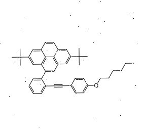 CCCCCCOc1ccc(C#Cc2ccccc2-c2cc3cc(C(C)(C)C)cc4ccc5cc(C(C)(C)C)cc2c5c43)cc1